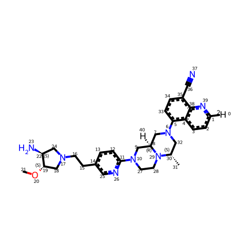 [2H]c1ccc2c(N3C[C@@H]4CN(c5ccc(CCN6C[C@H](OC)[C@@H](N)C6)cn5)CCN4[C@@H](C)C3)ccc(C#N)c2n1